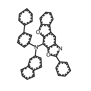 c1ccc(-c2cccc(N(c3ccc4ccccc4c3)c3c4oc(-c5ccccc5)nc4cc4c3oc3ccccc34)c2)cc1